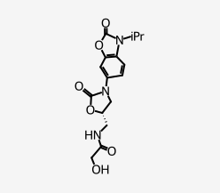 CC(C)n1c(=O)oc2cc(N3C[C@H](CNC(=O)CO)OC3=O)ccc21